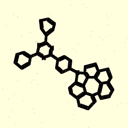 c1ccc(-c2nc(-c3ccccc3)nc(-c3ccc(-n4c5ccc6cccc7c6c5c5c6c(ccc8cccc-7c86)ccc54)cc3)n2)cc1